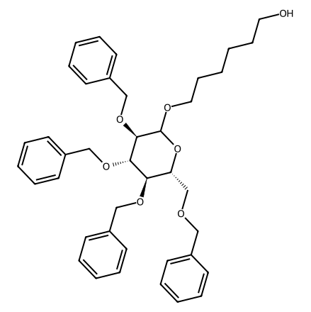 OCCCCCCOC1O[C@H](COCc2ccccc2)[C@@H](OCc2ccccc2)[C@H](OCc2ccccc2)[C@H]1OCc1ccccc1